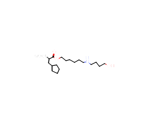 CCCCCCCCC(CC1CCCC1)C(=O)OCCCCCCNCCCCO